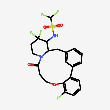 O=C1CCOc2c(F)cccc2-c2cccc(c2)CC2C(NS(=O)(=O)C(F)F)C(F)(F)CCN12